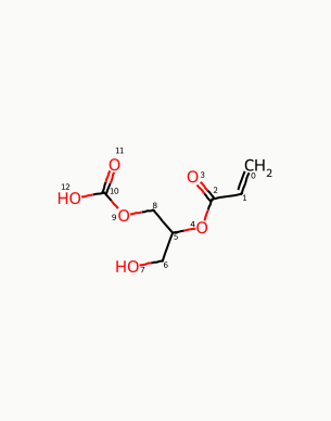 C=CC(=O)OC(CO)COC(=O)O